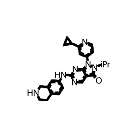 CC(C)n1c(=O)c2cnc(Nc3ccc4c(c3)CNCC4)nc2n1-c1ccnc(C2CC2)c1